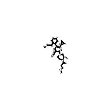 COCCC(=O)N1CCN(c2nc(C3CC3)c(-c3ccccc3CCOC)cc2C#N)C[C@H]1C